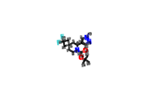 Cn1cc(C2CC3(CCN2C(=O)OC(C)(C)C)CC(F)(F)C3)cn1